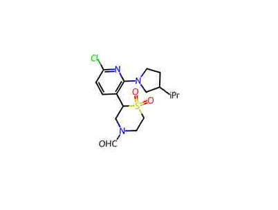 CC(C)C1CCN(c2nc(Cl)ccc2C2CN(C=O)CCS2(=O)=O)C1